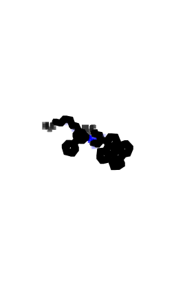 C=C/C=C(\C=C/Nc1cc(/C=C/C=C\CCC)cc(-c2ccccc2)c1)c1cccc2c1-c1ccccc1C21c2ccccc2-c2ccccc21